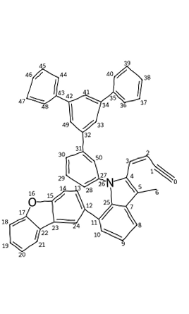 C#C/C=C\c1c(C)c2cccc(-c3ccc4oc5ccccc5c4c3)c2n1-c1cccc(-c2cc(-c3ccccc3)cc(-c3ccccc3)c2)c1